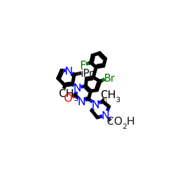 Cc1ccnc(C(C)C)c1-n1c(=O)nc(N2CCN(C(=O)O)C[C@@H]2C)c2cc(Br)c(-c3ccccc3F)cc21